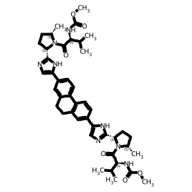 COC(=O)N[C@H](C(=O)N1[C@@H](C)CC[C@H]1c1ncc(-c2ccc3c(c2)CCc2cc(-c4cnc([C@@H]5CC[C@H](C)N5C(=O)[C@@H](NC(=O)OC)C(C)C)[nH]4)ccc2-3)[nH]1)C(C)C